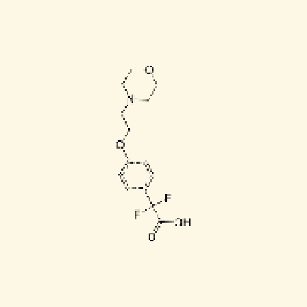 O=C(O)C(F)(F)c1ccc(OCCN2CCOCC2)cc1